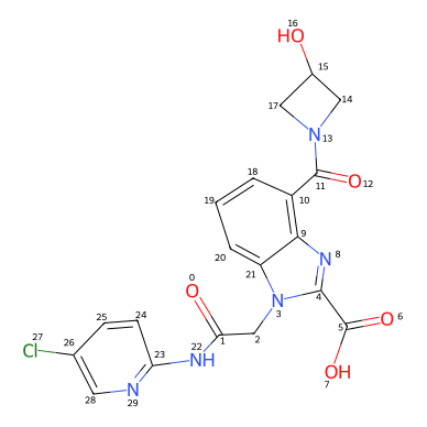 O=C(Cn1c(C(=O)O)nc2c(C(=O)N3CC(O)C3)cccc21)Nc1ccc(Cl)cn1